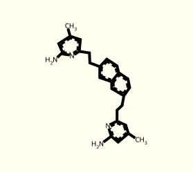 Cc1cc(N)nc(CCc2ccc3ccc(CCc4cc(C)cc(N)n4)cc3c2)c1